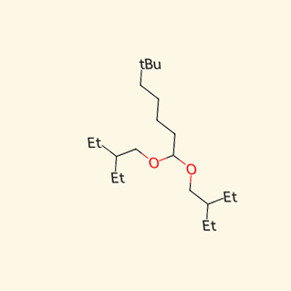 CCC(CC)COC(CCCCC(C)(C)C)OCC(CC)CC